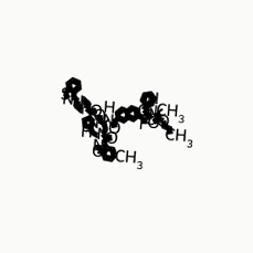 CCCOC(=O)[C@H](C)NP(=O)(Oc1ccccc1)C(F)c1ccc2ccc(C(=O)N[C@H]3CN(C(=O)c4noc5ccc(C)cc45)CC[C@H]4CC[C@@H](C(=O)N5CCN(c6nsc7ccccc67)CC5)N4C3=O)cc2c1